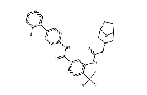 O=C(CN1CC2CCC(C1)O2)Nc1cc(C(=O)Nc2ccc(-c3ccccc3F)nc2)ccc1C(F)(F)F